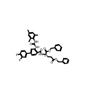 Cc1cc(C)c(NC(=O)Nc2cc(-c3ccc(F)c(F)c3)ccc2C(=O)N[C@H](CCC(=O)OCc2ccccc2)C(=O)OCc2ccccc2)c(C)c1